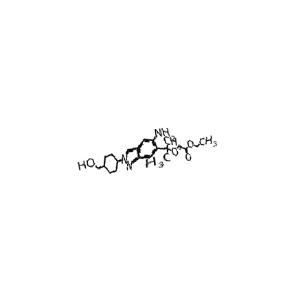 CCOC(=O)COC(C)(C)c1cc2nn(C3CCC(CO)CC3)cc2cc1N